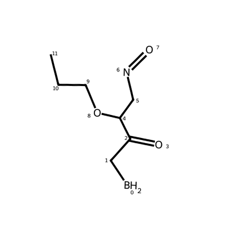 BCC(=O)C(CN=O)OCCC